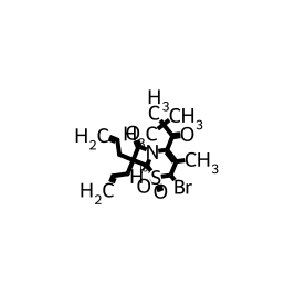 C=CCC1(CC=C)C(=O)N2C(C(=O)C(C)(C)C)=C(C)C(Br)S(=O)(=O)[C@H]21